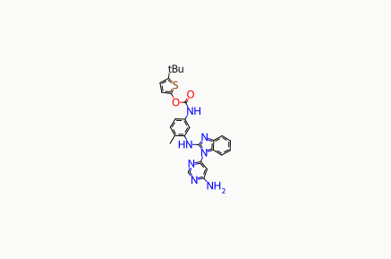 Cc1ccc(NC(=O)Oc2ccc(C(C)(C)C)s2)cc1Nc1nc2ccccc2n1-c1cc(N)ncn1